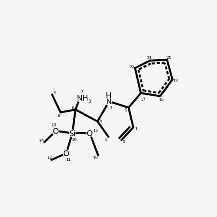 C=CC(NC(C)C(N)(CC)[Si](OC)(OC)OC)c1ccccc1